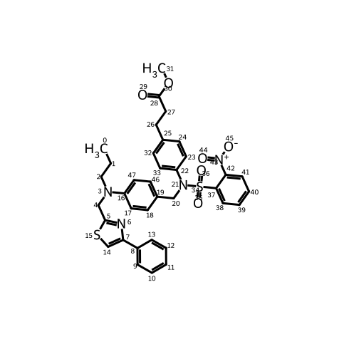 CCCN(Cc1nc(-c2ccccc2)cs1)c1ccc(CN(c2ccc(CCC(=O)OC)cc2)S(=O)(=O)c2ccccc2[N+](=O)[O-])cc1